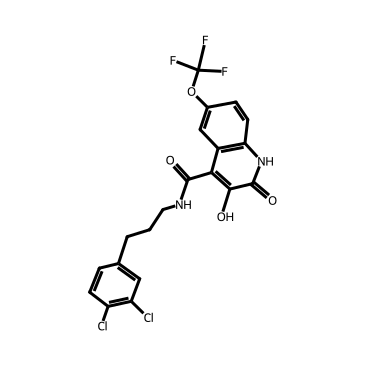 O=C(NCCCc1ccc(Cl)c(Cl)c1)c1c(O)c(=O)[nH]c2ccc(OC(F)(F)F)cc12